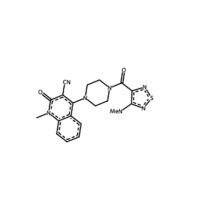 CNc1nsnc1C(=O)N1CCN(c2c(C#N)c(=O)n(C)c3ccccc23)CC1